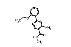 CCOc1ccccc1-c1ncc(C(=O)NC)c(N)n1